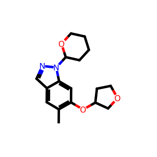 Cc1cc2cnn(C3CCCCO3)c2cc1OC1CCOC1